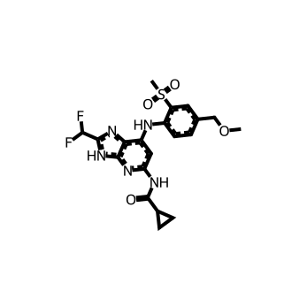 COCc1ccc(Nc2cc(NC(=O)C3CC3)nc3[nH]c(C(F)F)nc23)c(S(C)(=O)=O)c1